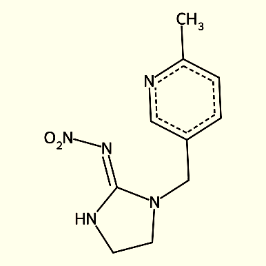 Cc1ccc(CN2CCN/C2=N\[N+](=O)[O-])cn1